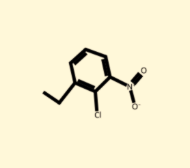 CCc1cccc([N+](=O)[O-])c1Cl